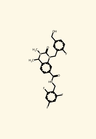 CC1c2ccc(C(=O)NCc3c(F)cc(F)cc3F)cc2N(Cc2cc(CO)ccc2F)C(=O)N1C